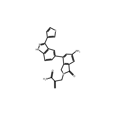 C=C(CN1Cc2c(cc(N)cc2-c2ccc3[nH]nc(-c4ccsc4)c3c2)C1=O)C(N)=O